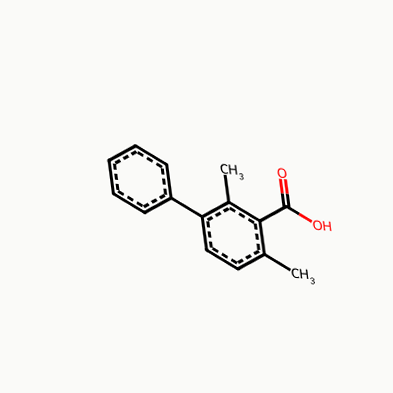 Cc1ccc(-c2ccccc2)c(C)c1C(=O)O